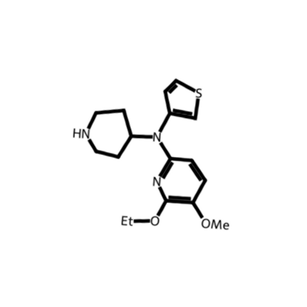 CCOc1nc(N(c2ccsc2)C2CCNCC2)ccc1OC